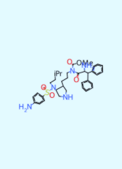 COC(=O)N(CCCC1CNCC1N(CCC(C)C)S(=O)(=O)c1ccc(N)cc1)C(=O)[C@@H](N)C(c1ccccc1)c1ccccc1